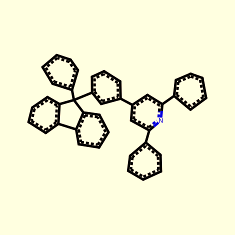 c1ccc(-c2cc(-c3cccc(C4(c5ccccc5)c5ccccc5-c5ccccc54)c3)cc(-c3ccccc3)n2)cc1